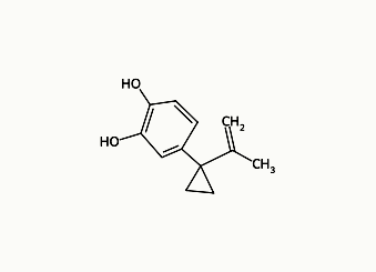 C=C(C)C1(c2ccc(O)c(O)c2)CC1